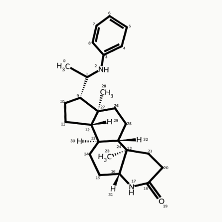 CC(Nc1ccccc1)[C@H]1CC[C@H]2[C@@H]3CC[C@H]4NC(=O)CC[C@]4(C)[C@H]3CC[C@]12C